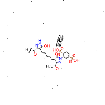 CC(=O)C1=NN(c2cc(S(=O)(=O)O)ccc2S(=O)(=O)O)C(=O)C1=CC=CC=Cc1c(C(C)=O)n[nH]c1O.[Na].[Na].[Na].[Na].[Na]